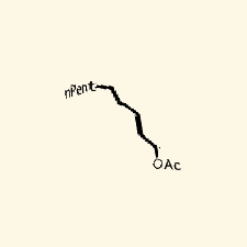 CCCCCCCC=C[CH]OC(C)=O